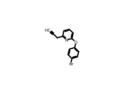 C#C[CH]c1cccc(Oc2ccc(Br)cc2)n1